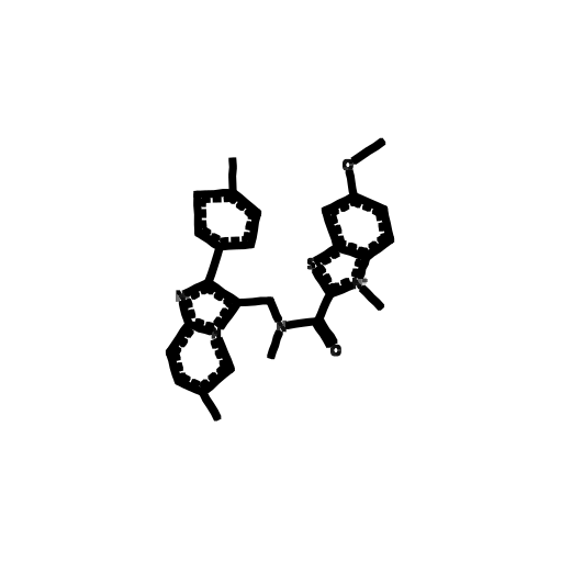 COc1ccc2c(c1)sc(C(=O)N(C)Cc1c(-c3ccc(C)cc3)nc3ccc(C)cn13)[n+]2C